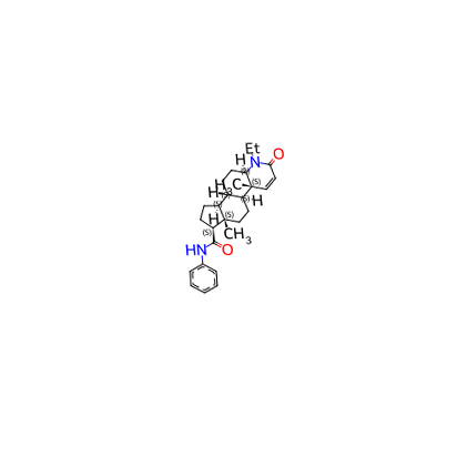 CCN1C(=O)C=C[C@]2(C)[C@H]3CC[C@]4(C)[C@@H](C(=O)Nc5ccccc5)CC[C@H]4[C@@H]3CC[C@@H]12